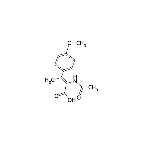 COc1ccc(C(C)=C(NC(C)=O)C(=O)O)cc1